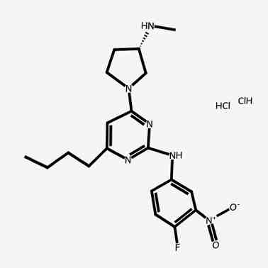 CCCCc1cc(N2CC[C@H](NC)C2)nc(Nc2ccc(F)c([N+](=O)[O-])c2)n1.Cl.Cl